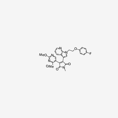 COc1ncc(C2=C(c3cn(CCOc4ccc(F)cc4)c4ncccc34)C(=O)N(C)C2=O)c(OC)n1